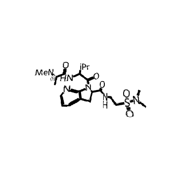 CN[C@@H](C)C(=O)NC(C(=O)N1c2ncccc2CC1C(=O)NCCS(=O)(=O)N(C)C)C(C)C